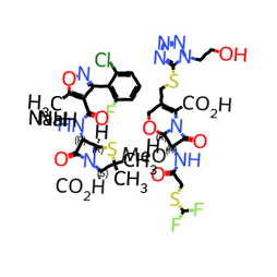 CO[C@@]1(NC(=O)CSC(F)F)C(=O)N2C(C(=O)O)=C(CSc3nnnn3CCO)CO[C@@H]21.Cc1onc(-c2c(F)cccc2Cl)c1C(=O)N[C@@H]1C(=O)N2[C@@H]1SC(C)(C)[C@@H]2C(=O)O.[NaH].[NaH]